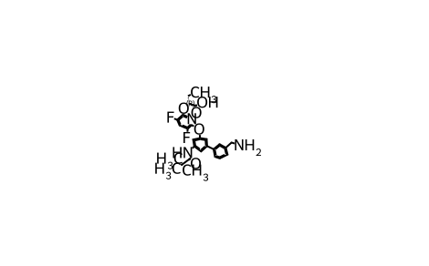 CC[C@@H](Oc1nc(Oc2cc(NC(=O)C(C)(C)C)cc(-c3cccc(CN)c3)c2)c(F)cc1F)C(=O)O